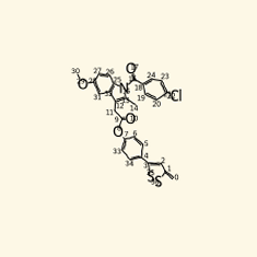 C=C1C=C(c2ccc(OC(=O)Cc3c(C)n(C(=O)c4ccc(Cl)cc4)c4ccc(OC)cc34)cc2)SS1